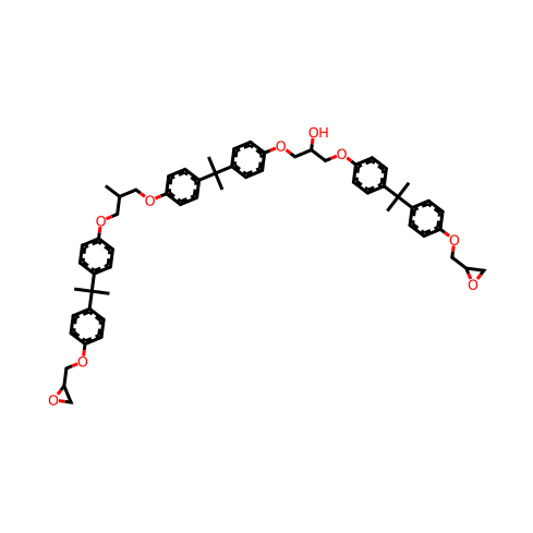 CC(COc1ccc(C(C)(C)c2ccc(OCC(O)COc3ccc(C(C)(C)c4ccc(OCC5CO5)cc4)cc3)cc2)cc1)COc1ccc(C(C)(C)c2ccc(OCC3CO3)cc2)cc1